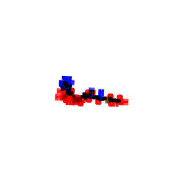 CC(C)(COP(=O)(O)OP(=O)(O)OC[C@H]1O[C@@H](n2cnc3c(N)ncnc32)[C@H](O)[C@@H]1OP(=O)(O)O)[C@@H](O)C(=O)NCCC(=O)NCCSC(=O)[C@H](O)CCC(=O)O